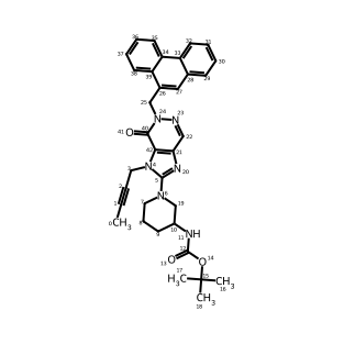 CC#CCn1c(N2CCCC(NC(=O)OC(C)(C)C)C2)nc2cnn(Cc3cc4ccccc4c4ccccc34)c(=O)c21